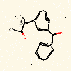 CCC(=O)[C@@H](C)c1cccc(C(=O)c2ccccc2)c1